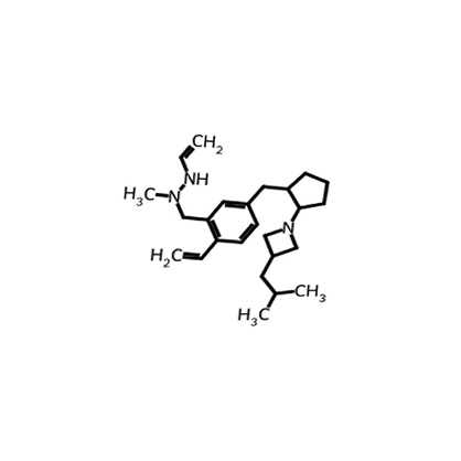 C=CNN(C)Cc1cc(CC2CCCC2N2CC(CC(C)C)C2)ccc1C=C